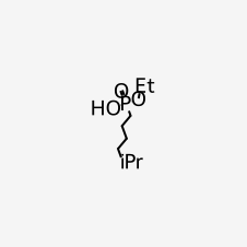 CCOP(=O)(O)CCCCC(C)C